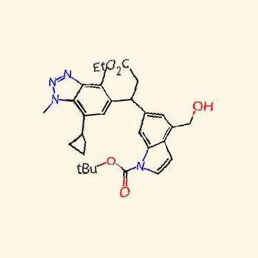 CCOC(=O)CC(c1cc(CO)c2ccn(C(=O)OC(C)(C)C)c2c1)c1cc(C2CC2)c2c(nnn2C)c1C